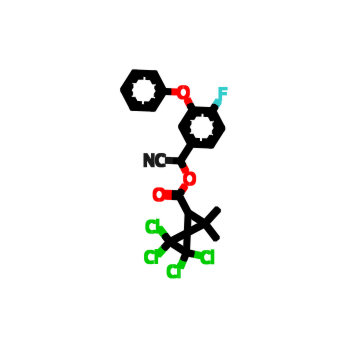 CC1(C)C(C(=O)OC(C#N)c2ccc(F)c(Oc3ccccc3)c2)C12C(Cl)(Cl)C2(Cl)Cl